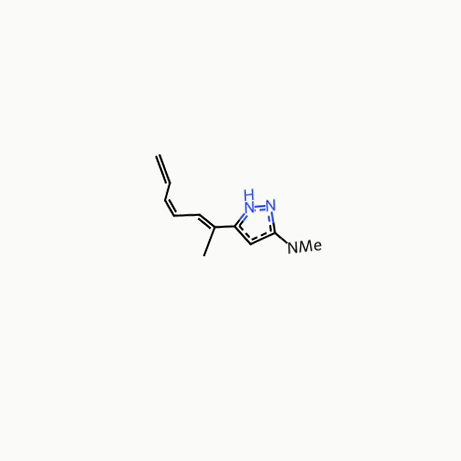 C=C/C=C\C=C(/C)c1cc(NC)n[nH]1